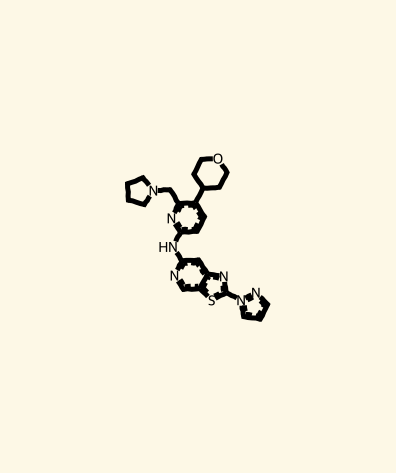 c1cnn(-c2nc3cc(Nc4ccc(C5CCOCC5)c(CN5CCCC5)n4)ncc3s2)c1